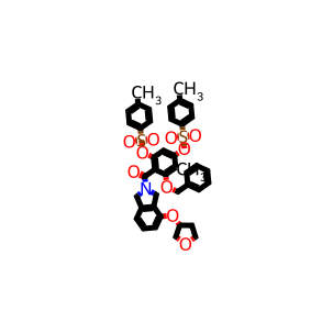 Cc1ccc(S(=O)(=O)Oc2cc(OS(=O)(=O)c3ccc(C)cc3)c(C(=O)N3Cc4cccc(OC5CCOC5)c4C3)c(OCc3ccccc3)c2C)cc1